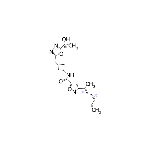 C=C/C=C\C=C(/C)c1cc(C(=O)NC2CC(Cc3nnc([C@@H](C)O)o3)C2)on1